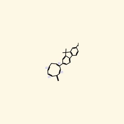 C=C1/C=C\C=C/C/C=C(c2ccc3c(c2)C(C)(C)c2cc(I)ccc2-3)\C=C/1